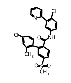 Cc1cc(Cl)ccc1-c1cc(S(C)(=O)=O)ccc1C(=O)Nc1ccc(Cl)c(-c2ccccn2)c1